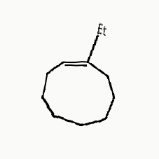 [CH2]C/C1=C/CCCCCCC1